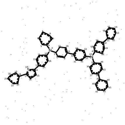 C1=CC(N(c2ccccc2)c2ccc(-c3ccc(-c4ccccc4)s3)cc2)CC=C1c1ccc(N(c2ccc(-c3ccccc3)cc2)c2ccc(-c3ccccc3)cc2)cc1